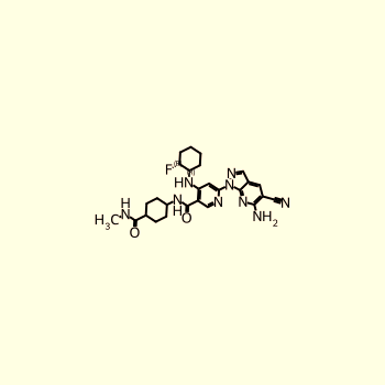 CNC(=O)C1CCC(NC(=O)c2cnc(-n3ncc4cc(C#N)c(N)nc43)cc2N[C@@H]2CCCC[C@H]2F)CC1